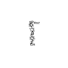 CCCCCc1ccc([C@H]2CC[C@H](OC[C@H]3CC[C@H](C=CC=CC#N)CC3)CC2)cc1